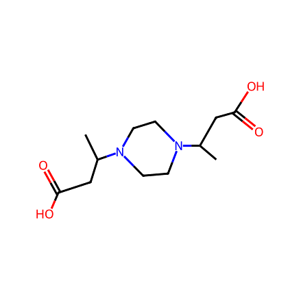 CC(CC(=O)O)N1CCN(C(C)CC(=O)O)CC1